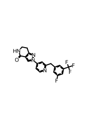 O=C1NCCc2nn(-c3ccnc(Cc4cc(F)cc(C(F)(F)F)c4)c3)cc21